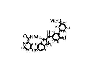 CNC(=O)c1cc(Oc2ccc3c(c2)nc(Nc2ccc(Cl)c(-c4cccc(OC)c4)c2)n3C)ccn1